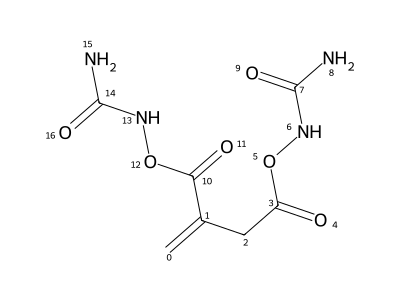 C=C(CC(=O)ONC(N)=O)C(=O)ONC(N)=O